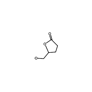 [O]CC1CCC(=O)O1